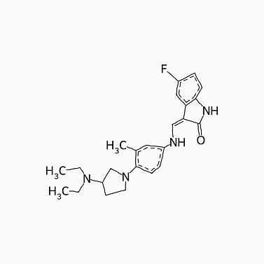 CCN(CC)C1CCN(c2ccc(NC=C3C(=O)Nc4ccc(F)cc43)cc2C)C1